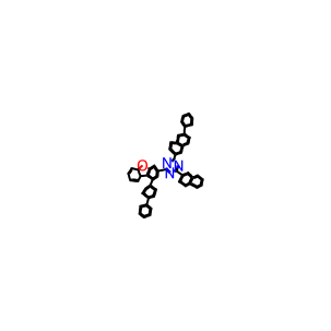 C1=CC2Oc3cc(-c4nc(-c5ccc6ccccc6c5)nc(-c5ccc6cc(-c7ccccc7)ccc6c5)n4)cc(-c4ccc(-c5ccccc5)cc4)c3C2C=C1